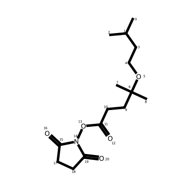 CC(C)CCOC(C)(C)CCC(=O)ON1C(=O)CCC1=O